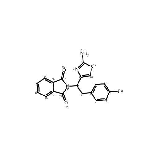 Nc1nc(C(Cc2ccc(F)cc2)N2C(=O)c3ccccc3C2=O)cs1